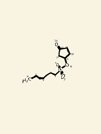 CCCCCS(=O)(=O)OC1CCC(=O)C1